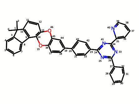 CC1(C)c2ccccc2-c2c1ccc1c2Oc2ccc(-c3ccc(-c4nc(-c5ccccc5)nc(-c5ccccn5)n4)cc3)cc2O1